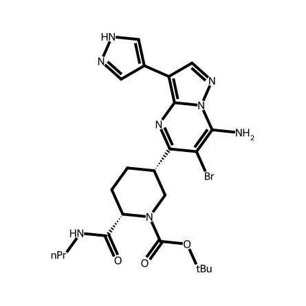 CCCNC(=O)[C@@H]1CC[C@H](c2nc3c(-c4cn[nH]c4)cnn3c(N)c2Br)CN1C(=O)OC(C)(C)C